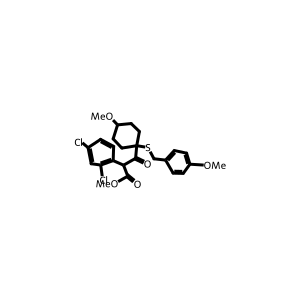 COC(=O)C(C(=O)C1(SCc2ccc(OC)cc2)CCC(OC)CC1)c1ccc(Cl)cc1Cl